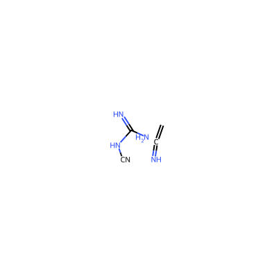 C=C=N.N#CNC(=N)N